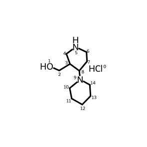 Cl.OCC1CNCCC1N1CCCCC1